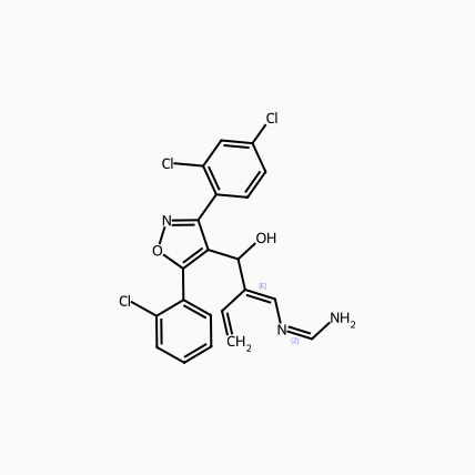 C=C/C(=C\N=C/N)C(O)c1c(-c2ccc(Cl)cc2Cl)noc1-c1ccccc1Cl